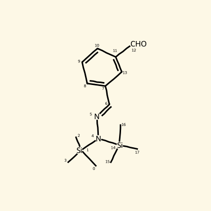 C[Si](C)(C)N(N=Cc1cccc(C=O)c1)[Si](C)(C)C